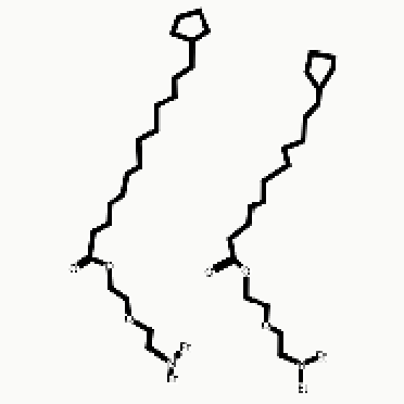 CCN(CC)CCOCCOC(=O)CCCCCCCCCCC1CCCC1.CCN(CC)CCOCCOC(=O)CCCCCCCCCCCCC1CCCC1